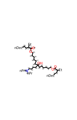 CCCCCCCCCCCCC(CC)C(=O)OCCCCCCC(O)(CCCCCCOC(=O)C(CC)CCCCCCCCCCCC)CCCCN(CCC)CCC